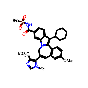 CCOC(=O)c1ncn(C(C)C)c1C1=Cc2cc(OC)ccc2-c2c(C3CCCCC3)c3ccc(C(=O)NS(=O)(=O)C(C)C)cc3n2C1